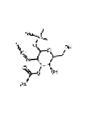 CC(=O)C(=O)OC1C(N=[N+]=[N-])C(O[Si](C)(C)C(C)(C)C)OC(CO)[C@H]1O